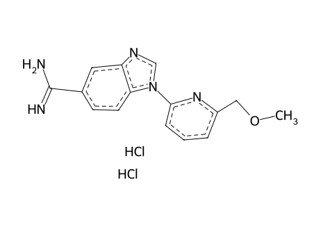 COCc1cccc(-n2cnc3cc(C(=N)N)ccc32)n1.Cl.Cl